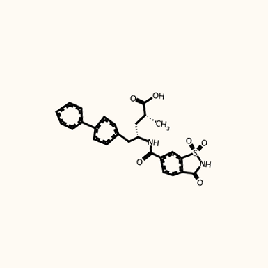 C[C@H](C[C@@H](Cc1ccc(-c2ccccc2)cc1)NC(=O)c1ccc2c(c1)S(=O)(=O)NC2=O)C(=O)O